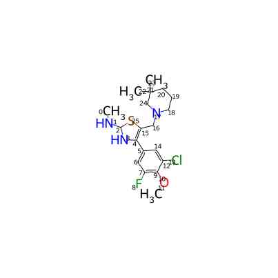 CNC1NC(c2cc(F)c(OC)c(Cl)c2)=C(CN2CCCC(C)(C)C2)S1